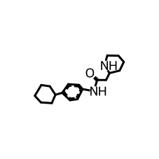 O=C(CC1CCCCN1)Nc1ccc(C2CCCCC2)cc1